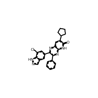 O=c1[nH]c2nc(-c3ccccc3)c(-c3cc(Cl)c4[nH]ncc4c3)nc2cc1C1CCCC1